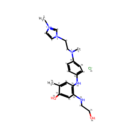 CCN(CCn1cc[n+](C)c1)c1ccc(Nc2cc(C)c(O)cc2NCCO)cc1.[Cl-]